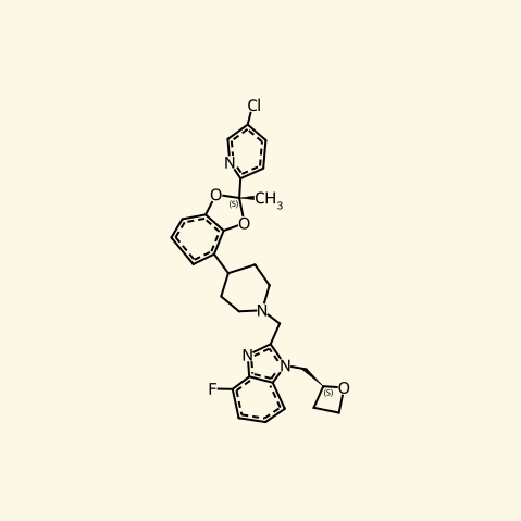 C[C@]1(c2ccc(Cl)cn2)Oc2cccc(C3CCN(Cc4nc5c(F)cccc5n4C[C@@H]4CCO4)CC3)c2O1